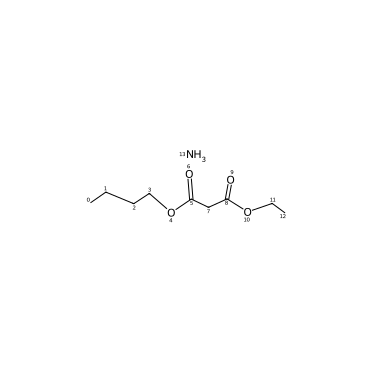 CCCCOC(=O)CC(=O)OCC.N